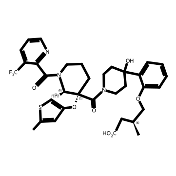 CCC[C@H]1N(C(=O)c2ncccc2C(F)(F)F)CCC[C@@]1(Oc1csc(C)c1)C(=O)N1CCC(O)(c2ccccc2OC[C@@H](C)CC(=O)O)CC1